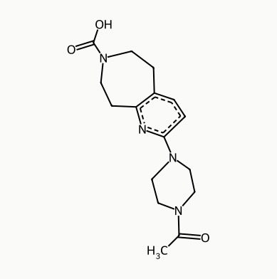 CC(=O)N1CCN(c2ccc3c(n2)CCN(C(=O)O)CC3)CC1